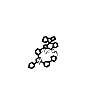 CC1(C)c2ccccc2C2(c3ccccc3-c3ccccc32)c2ccc(-c3cccc(-c4cc(-c5ccccc5)nc(-c5cccc(-c6ccccc6)c5)n4)c3)cc21